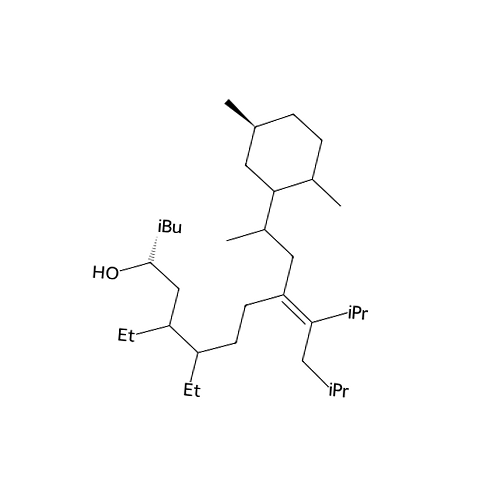 CCC(CC/C(CC(C)C1C[C@@H](C)CCC1C)=C(\CC(C)C)C(C)C)C(CC)CC(O)[C@@H](C)CC